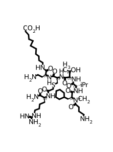 C=[N+](C(=O)CCCN)[C@@H](CC1CCCCC1)C(=O)N[C@H](C(=O)N[C@H](C(=O)N[C@@H](CSCC(=O)N[C@@H](CCCCNC(=N)N)C(N)=O)C(=O)N[C@@H](CCN)C(=O)NCCCCCCCCCCC(=O)O)[C@@H](C)O)C(C)C